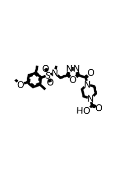 COc1cc(C)c(S(=O)(=O)N(C)Cc2nnc(C(=O)N3CCN(C(=O)O)CC3)o2)c(C)c1